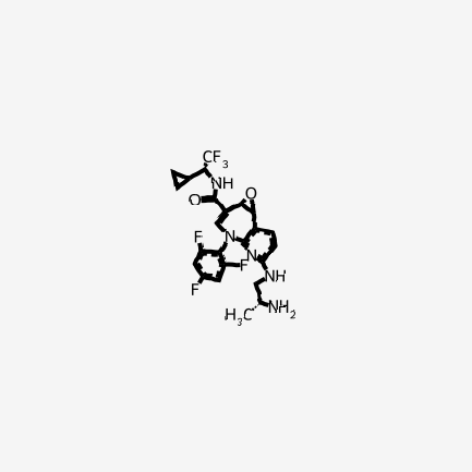 C[C@@H](N)CNc1ccc2c(n1)N(c1c(F)cc(F)cc1F)C=C(C(=O)N[C@@H](C1CC1)C(F)(F)F)C1OC21